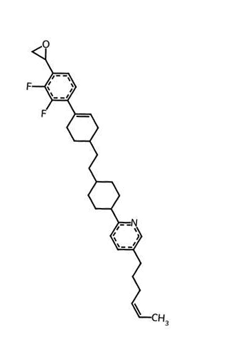 C/C=C\CCCc1ccc(C2CCC(CCC3CC=C(c4ccc(C5CO5)c(F)c4F)CC3)CC2)nc1